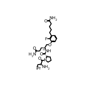 CC(C)C[C@H](N)C(=O)N1CCC[C@H]1C(=O)N[C@@H](CCC(N)=O)COc1cccc(CCCCC(N)=O)c1F